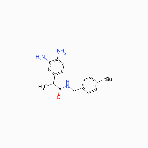 CC(C(=O)NCc1ccc(C(C)(C)C)cc1)c1ccc(N)c(N)c1